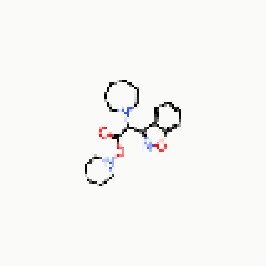 O=C(ON1CCCCC1)C(c1noc2ccccc12)N1CCCCCC1